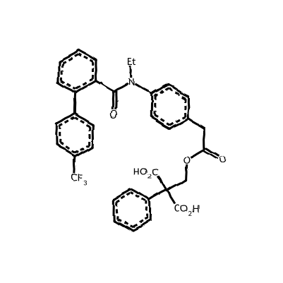 CCN(C(=O)c1ccccc1-c1ccc(C(F)(F)F)cc1)c1ccc(CC(=O)OCC(C(=O)O)(C(=O)O)c2ccccc2)cc1